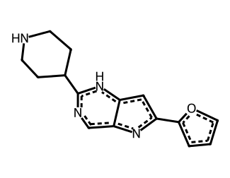 c1coc(-c2cc3[nH]c(C4CCNCC4)ncc-3n2)c1